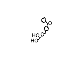 O=C(c1ccccc1)c1ccc(COCC(O)CO)cc1